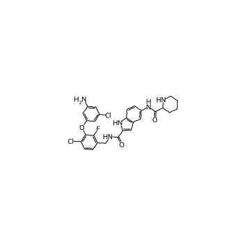 Nc1cc(Cl)cc(Oc2c(Cl)ccc(CNC(=O)c3cc4cc(NC(=O)C5CCCCN5)ccc4[nH]3)c2F)c1